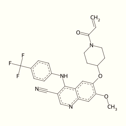 C=CC(=O)N1CCC(Oc2cc3c(Nc4ccc(C(F)(F)F)cc4)c(C#N)cnc3cc2OC)CC1